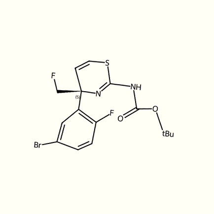 CC(C)(C)OC(=O)NC1=N[C@](CF)(c2cc(Br)ccc2F)C=CS1